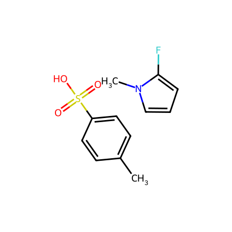 Cc1ccc(S(=O)(=O)O)cc1.Cn1cccc1F